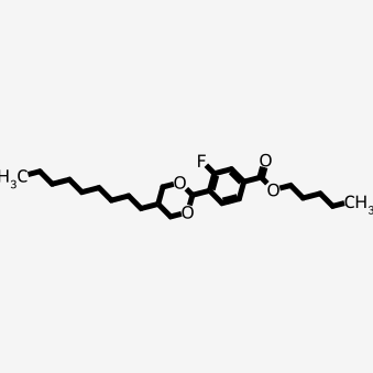 CCCCCCCCCC1COC(c2ccc(C(=O)OCCCCC)cc2F)OC1